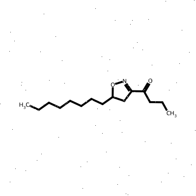 CCCCCCCCC1CC(C(=O)CCC)=NO1